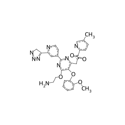 COc1ccccc1Oc1c(CS(=O)(=O)c2ccc(C)cn2)nc(-c2ccnc(C3=NN=NC3)c2)nc1OCCN